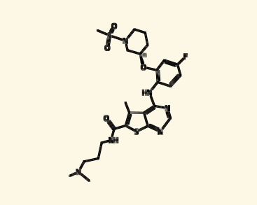 Cc1c(C(=O)NCCCN(C)C)sc2ncnc(Nc3ccc(F)cc3O[C@@H]3CCCN(S(C)(=O)=O)C3)c12